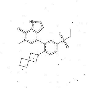 CCS(=O)(=O)c1ccc(N2CC3(CCC3)C2)c(-c2cn(C)c(=O)c3[nH]ccc23)c1